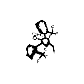 COc1c(-c2ccccc2C(F)(F)F)cc(C=O)cc1-c1ccccc1C(F)(F)F